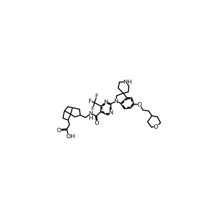 O=C(O)CC1CC2CC3CC(CNC(=O)c4cnc(N5CC6(CCNCC6)c6cc(OCCC7CCOCC7)ccc65)nc4C(F)(F)F)CC132